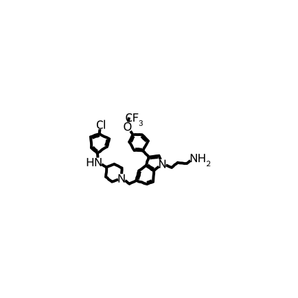 NCCCn1cc(-c2ccc(OC(F)(F)F)cc2)c2cc(CN3CCC(Nc4ccc(Cl)cc4)CC3)ccc21